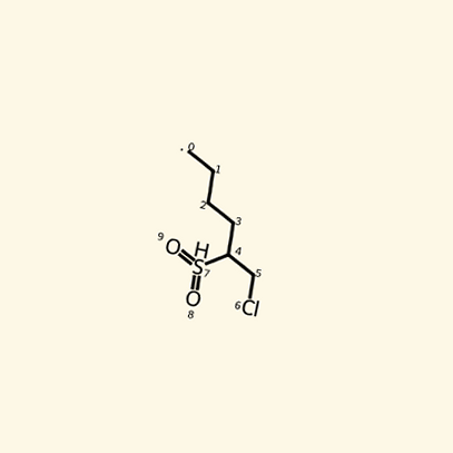 [CH2]CCCC(CCl)[SH](=O)=O